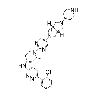 CC1c2c([nH]c3nnc(-c4ccccc4O)cc23)CCN1c1ncc(N2C[C@@H]3CN(C4CCNCC4)C[C@@H]3C2)cn1